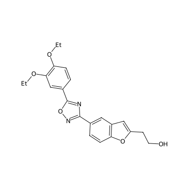 CCOc1ccc(-c2nc(-c3ccc4oc(CCO)cc4c3)no2)cc1OCC